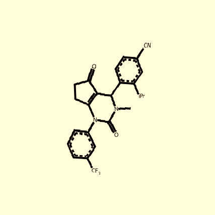 CC(C)c1cc(C#N)ccc1C1C2=C(CCC2=O)N(c2cccc(C(F)(F)F)c2)C(=O)N1C